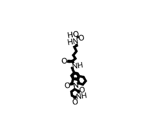 O=C=C(CCCCCNC(=O)O)NCc1cc2c3c(c1)C(=O)N(C1CCC(=O)NC1=O)C3CCC2